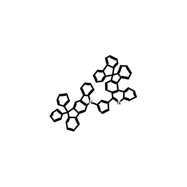 c1ccc(C2(c3ccccc3)c3ccccc3-c3cc4c(cc32)c2ccccc2n4-c2cccc(-c3nc4ccccc4c4c5c(ccc34)C3(c4ccccc4-c4ccccc43)c3ccccc3-5)c2)cc1